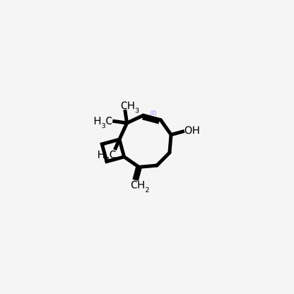 C=C1CCC(O)/C=C\C(C)(C)C2(C)CCC12